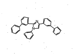 c1ccc(-c2cccc(-c3cn(-c4ccccc4)c(-c4cccc(-c5ccccc5)c4)n3)c2)cc1